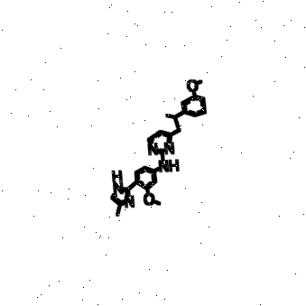 COc1cccc(C(C)Cc2ccnc(Nc3ccc(-c4nc(C)c[nH]4)c(OC)c3)n2)c1